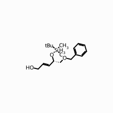 CC(C)(C)[Si](C)(C)O[C@@H](/C=C/CO)COCc1ccccc1